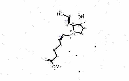 COC(=O)CCC/C=C\C[C@H]1CC[C@@H](O)C1/C=C/O